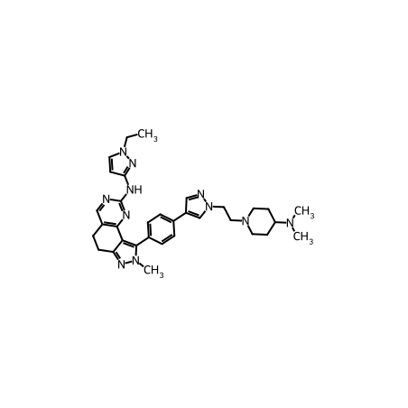 CCn1ccc(Nc2ncc3c(n2)-c2c(nn(C)c2-c2ccc(-c4cnn(CCN5CCC(N(C)C)CC5)c4)cc2)CC3)n1